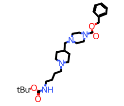 CC(C)(C)OC(=O)NCCCCN1CCC(CN2CCN(C(=O)OCc3ccccc3)CC2)CC1